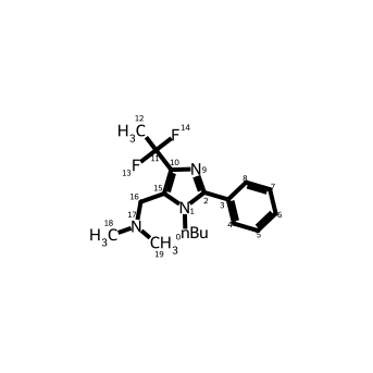 CCCCn1c(-c2ccccc2)nc(C(C)(F)F)c1CN(C)C